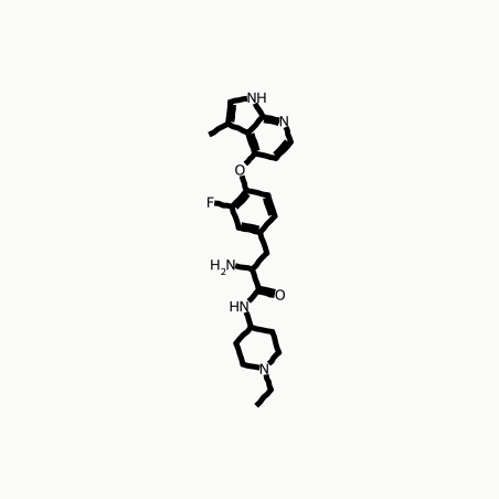 CCN1CCC(NC(=O)C(N)Cc2ccc(Oc3ccnc4[nH]cc(C)c34)c(F)c2)CC1